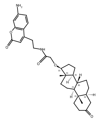 C[C@]12CCC(=O)C[C@@H]1CC[C@@H]1[C@@H]2CC[C@]2(C)[C@@H](OCC(=O)NCCc3cc(=O)oc4cc(N)ccc34)CC[C@@H]12